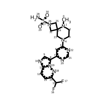 CN1CCN(c2cc(-c3cnc4ccc(C(F)F)nn34)ncn2)CC12CN(S(N)(=O)=O)C2